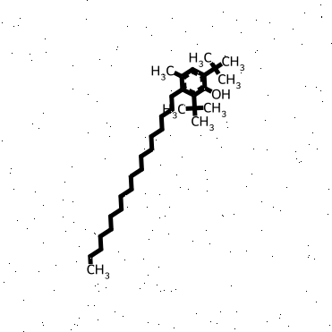 CCCCCCCCCCCCCCCCCCc1c(C)cc(C(C)(C)C)c(O)c1C(C)(C)C